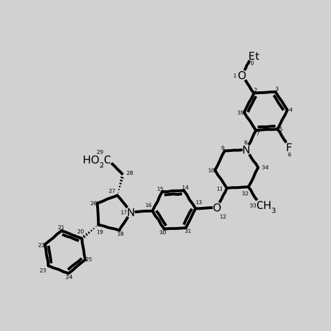 CCOc1ccc(F)c(N2CCC(Oc3ccc(N4C[C@H](c5ccccc5)C[C@@H]4CC(=O)O)cc3)C(C)C2)c1